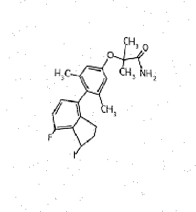 Cc1cc(OC(C)(C)C(N)=O)cc(C)c1-c1ccc(F)c2c1CCC2I